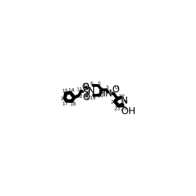 O=C(NCC1CCN(S(=O)(=O)CCc2ccccc2)CC1)c1ccc(O)nc1